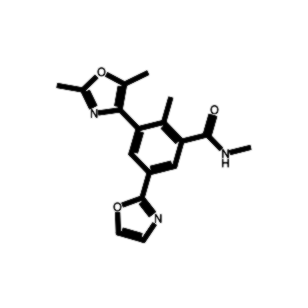 CNC(=O)c1cc(-c2ncco2)cc(-c2nc(C)oc2C)c1C